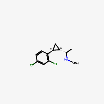 CONC(C)[C@H]1C[C@@H]1c1ccc(Cl)cc1Cl